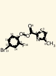 Cc1csc(C(=O)OOc2ccc(Br)cc2F)n1